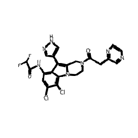 O=C(Nc1cc(Cl)c(Cl)c2c1c(-c1cn[nH]c1)c1n2CCN(C(=O)Cc2cnccn2)C1)C(F)F